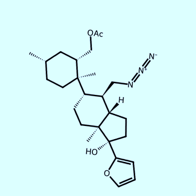 CC(=O)OC[C@H]1C[C@@H](C)CC[C@]1(C)[C@H]1CC[C@@]2(C)[C@@H](CC[C@@]2(O)c2ccco2)[C@@H]1CN=[N+]=[N-]